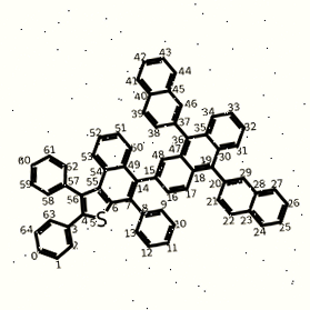 c1ccc(-c2sc3c(-c4ccccc4)c(-c4ccc5c(-c6ccc7ccccc7c6)c6ccccc6c(-c6ccc7ccccc7c6)c5c4)c4ccccc4c3c2-c2ccccc2)cc1